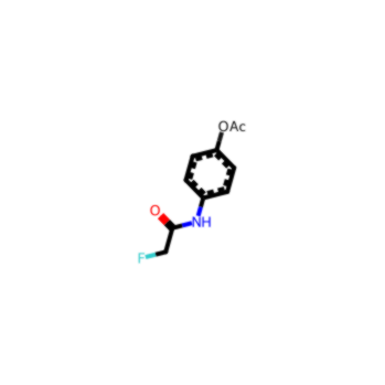 CC(=O)Oc1ccc(NC(=O)CF)cc1